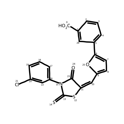 O=C(O)c1cccc(-c2ccc(C=C3SC(=S)N(c4cccc(Cl)c4)C3=O)o2)c1